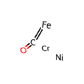 O=[C]=[Fe].[Cr].[Ni]